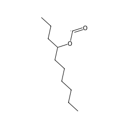 CCCCCCC(CCC)O[C]=O